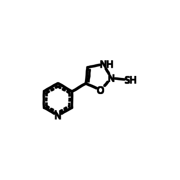 SN1NC=C(c2cccnc2)O1